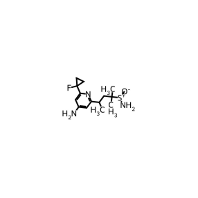 CC(CC(C)(C)[S+](N)[O-])c1cc(N)cc(C2(F)CC2)n1